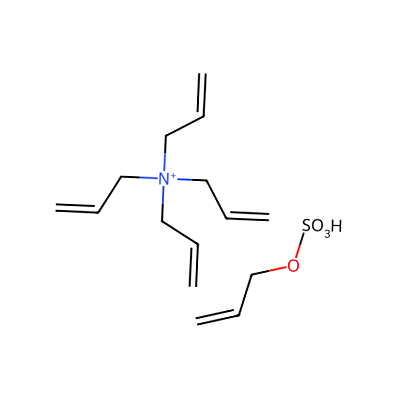 C=CCOS(=O)(=O)O.C=CC[N+](CC=C)(CC=C)CC=C